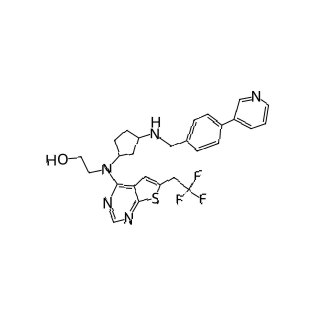 OCCN(c1ncnc2sc(CC(F)(F)F)cc12)C1CCC(NCc2ccc(-c3cccnc3)cc2)C1